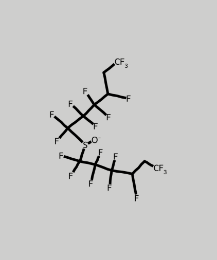 [O-][S+](C(F)(F)C(F)(F)C(F)(F)C(F)CC(F)(F)F)C(F)(F)C(F)(F)C(F)(F)C(F)CC(F)(F)F